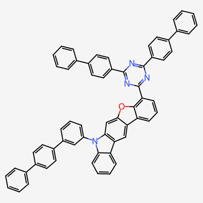 c1ccc(-c2ccc(-c3cccc(-n4c5ccccc5c5cc6c(cc54)oc4c(-c5nc(-c7ccc(-c8ccccc8)cc7)nc(-c7ccc(-c8ccccc8)cc7)n5)cccc46)c3)cc2)cc1